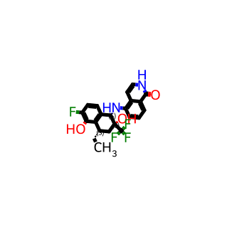 CC[C@H]1C[C@@](O)(C(F)(F)F)[C@@H](Nc2cccc3c(=O)[nH]ccc23)c2ccc(F)c(O)c21